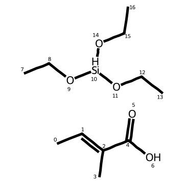 C/C=C(\C)C(=O)O.CCO[SiH](OCC)OCC